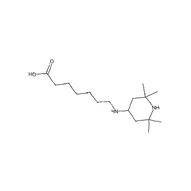 CC1(C)CC(NCCCCCCC(=O)O)CC(C)(C)N1